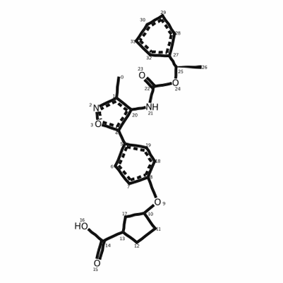 Cc1noc(-c2ccc(OC3CCC(C(=O)O)C3)cc2)c1NC(=O)O[C@H](C)c1ccccc1